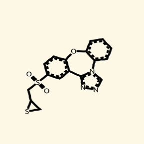 O=S(=O)(CC1CS1)c1ccc2c(c1)-c1nncn1-c1ccccc1O2